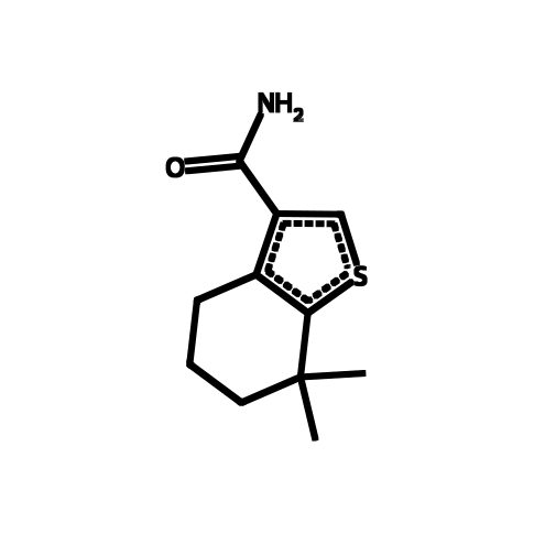 CC1(C)CCCc2c(C(N)=O)csc21